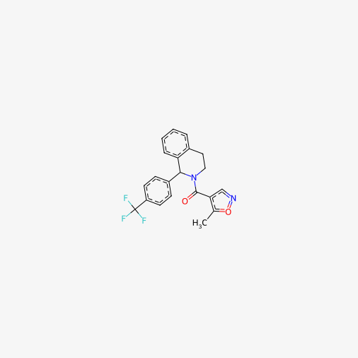 Cc1oncc1C(=O)N1CCc2ccccc2C1c1ccc(C(F)(F)F)cc1